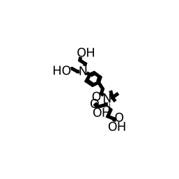 CC(C)(C)N(C(=O)Cc1ccc(N(CCO)CCO)cc1)[C@@H](CCC(=O)O)C(=O)O